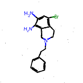 Nc1cc(Br)c2c(c1N)CN(CCc1ccccc1)CC2